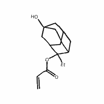 C=CC(=O)OC1(CC)C2CC3CC1CC(O)(C3)C2